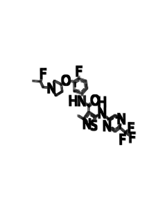 Cc1nsc(Nc2cnc(C(F)(F)F)cn2)c1C(=O)Nc1ccc(F)c(O[C@@H]2CCN(CC(C)F)C2)c1